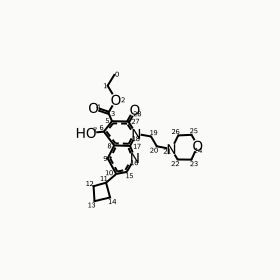 CCOC(=O)c1c(O)c2cc(C3CCC3)cnc2n(CCN2CCOCC2)c1=O